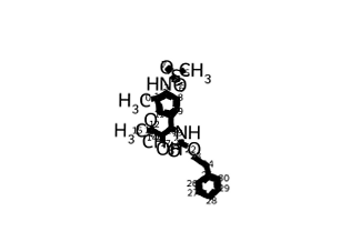 Cc1c(NS(C)(=O)=O)ccc2c1OC(C)(C)C(O)C2NC(=O)OCCc1ccccc1